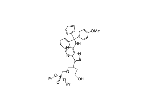 COc1ccc(C(Nc2ncnc3c2ncn3C(CCO)COCP(=O)(OC(C)C)OC(C)C)(c2ccccc2)c2ccccc2)cc1